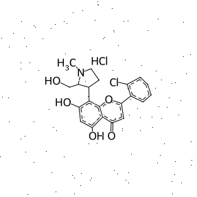 CN1CCC(c2c(O)cc(O)c3c(=O)cc(-c4ccccc4Cl)oc23)C1CO.Cl